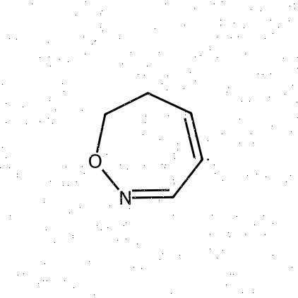 [C]1=CCCON=C1